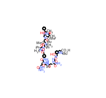 CC[C@H](C)[C@@H]([C@@H](CC(=O)N1CCC[C@H]1[C@H](OC)[C@@H](C)C(=O)N[C@H](C)[C@@H](O)c1ccccc1)OC)N(C)C(=O)[C@@H](NC(=O)[C@H](C(C)C)N(C)C(=O)OCc1ccc(NC(=O)[C@H](CCCNC(N)=O)NC(=O)[C@@H](NC(=O)CC[C@H](NC(=O)CO/N=C/c2cc(C[C@H](NC(C)(C)C)C(=O)O)ccc2O)C(N)=O)C(C)C)cc1)C(C)C